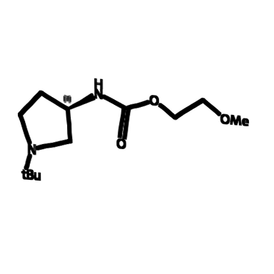 COCCOC(=O)N[C@@H]1CCN(C(C)(C)C)C1